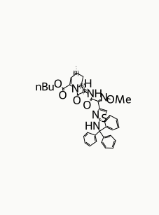 CCCCOC(=O)C1=C[C@H](C)C[C@H]2[C@@H](NC(=O)C(=NOC)c3csc(NC(c4ccccc4)(c4ccccc4)c4ccccc4)n3)C(=O)N12